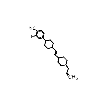 C=CCC1CCC(/C=C/C2CCC(c3ccc(C#N)c(F)c3)CC2)CC1